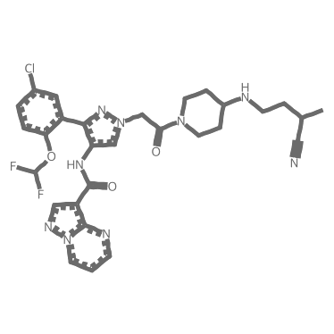 CC(C#N)CCNC1CCN(C(=O)Cn2cc(NC(=O)c3cnn4cccnc34)c(-c3cc(Cl)ccc3OC(F)F)n2)CC1